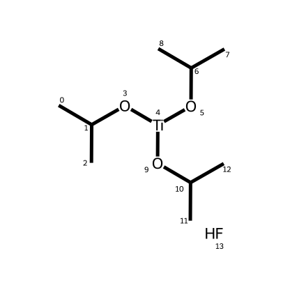 CC(C)[O][Ti]([O]C(C)C)[O]C(C)C.F